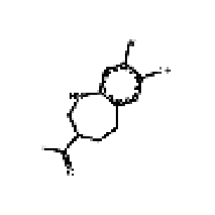 CC(=O)C1CCc2cc(O)c(Br)cc2NC1